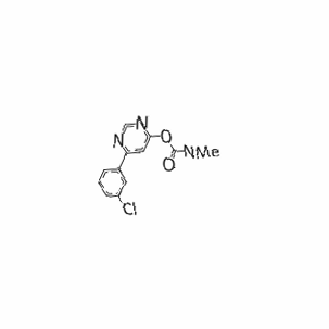 CNC(=O)Oc1cc(-c2cccc(Cl)c2)ncn1